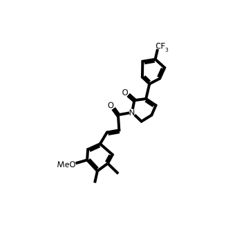 COc1cc(/C=C/C(=O)N2CCC=C(c3ccc(C(F)(F)F)cc3)C2=O)cc(C)c1C